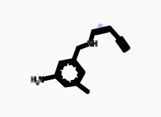 C#C/C=C\NCc1cc(C)cc(N)c1